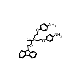 Nc1ccc(OCCN(CCOc2ccc(N)cc2)C(=O)OCC2c3ccccc3-c3ccccc32)cc1